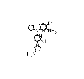 Nc1nc(N(c2ccc(N3CCC(N)C3)c(Cl)n2)C2CCCC2)ncc1Br